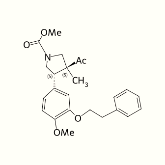 COC(=O)N1C[C@@H](c2ccc(OC)c(OCCc3ccccc3)c2)[C@](C)(C(C)=O)C1